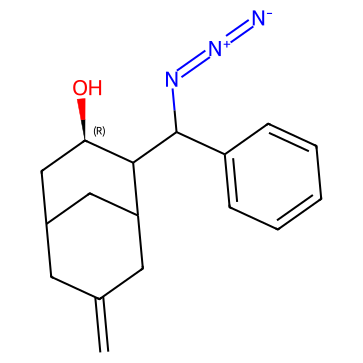 C=C1CC2CC(C1)C(C(N=[N+]=[N-])c1ccccc1)[C@H](O)C2